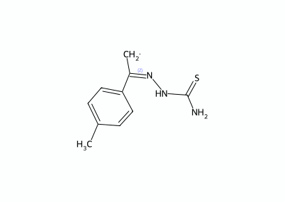 [CH2]/C(=N/NC(N)=S)c1ccc(C)cc1